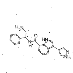 NC[C@H](NC(=O)c1cccc2c(-c3cn[nH]c3)c[nH]c12)c1ccccc1